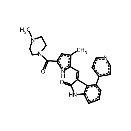 Cc1cc(C(=O)N2CCN(C)CC2)[nH]c1C=C1C(=O)Nc2cccc(-c3ccncc3)c21